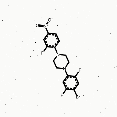 O=[N+]([O-])c1ccc(N2CCN(c3cc(F)c(Br)cc3F)CC2)c(F)c1